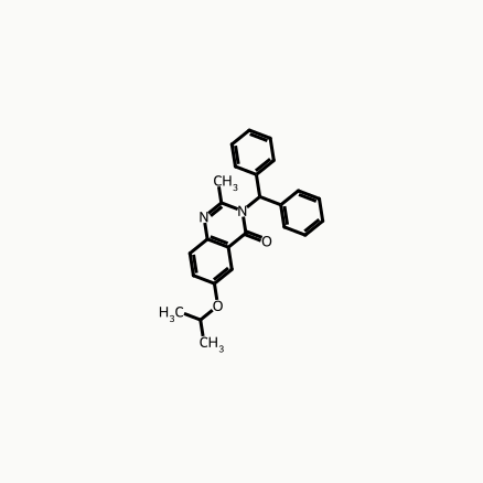 Cc1nc2ccc(OC(C)C)cc2c(=O)n1C(c1ccccc1)c1ccccc1